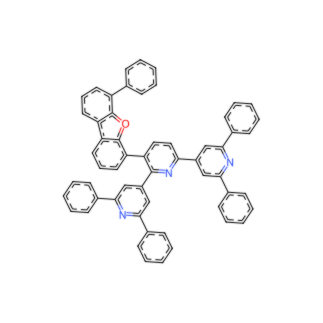 c1ccc(-c2cc(-c3ccc(-c4cccc5c4oc4c(-c6ccccc6)cccc45)c(-c4cc(-c5ccccc5)nc(-c5ccccc5)c4)n3)cc(-c3ccccc3)n2)cc1